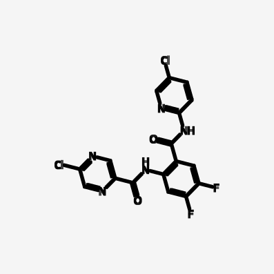 O=C(Nc1cc(F)c(F)cc1C(=O)Nc1ccc(Cl)cn1)c1cnc(Cl)cn1